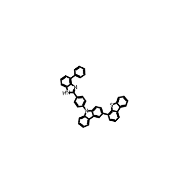 c1ccc(-c2cccc3[nH]c(-c4ccc(-n5c6ccccc6c6cc(-c7cccc8c7sc7ccccc78)ccc65)cc4)nc23)cc1